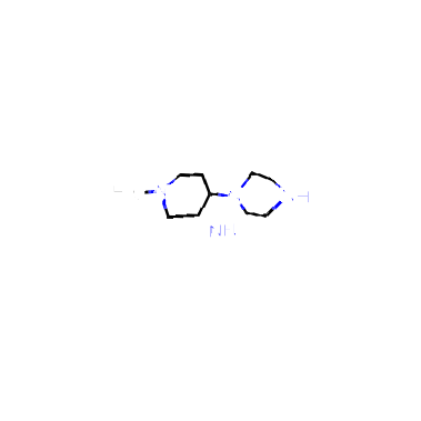 CN1CCC(N2CCNCC2)CC1.N